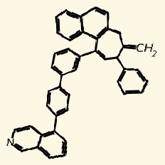 C=C1Cc2ccc3ccccc3c2C(c2cccc(-c3ccc(-c4cccc5cnccc45)cc3)c2)=CC1c1ccccc1